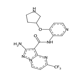 Nc1nn2ccc(C(F)(F)F)nc2c1C(=O)Nc1cnccc1OC1CCNC1